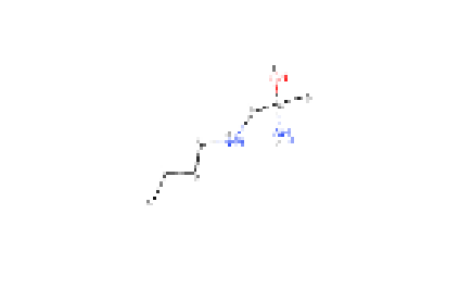 CCCCNCC(C)(N)O